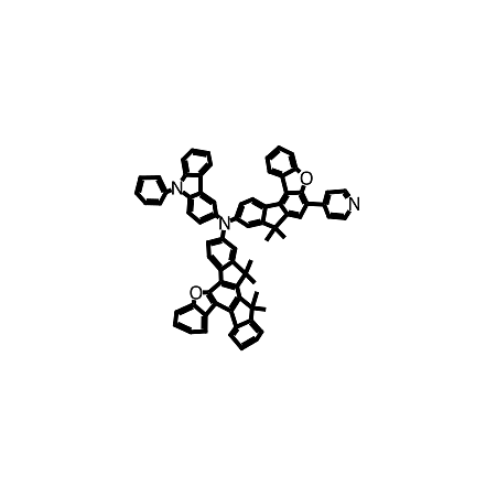 CC1(C)c2cc(N(c3ccc4c(c3)C(C)(C)c3c5c(c6c(oc7ccccc76)c3-4)-c3ccccc3C5(C)C)c3ccc4c(c3)c3ccccc3n4-c3ccccc3)ccc2-c2c1cc(-c1ccncc1)c1oc3ccccc3c21